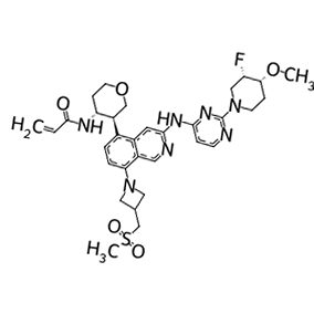 C=CC(=O)N[C@@H]1CCOC[C@H]1c1ccc(N2CC(CS(C)(=O)=O)C2)c2cnc(Nc3ccnc(N4CC[C@@H](OC)[C@@H](F)C4)n3)cc12